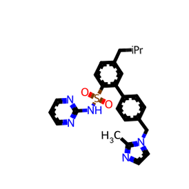 Cc1nccn1Cc1ccc(-c2cc(CC(C)C)ccc2S(=O)(=O)Nc2ncccn2)cc1